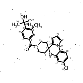 Cc1cc(C(=O)N2CCC3(CC2)Oc2cc(Cl)ccc2-n2cccc23)ccc1C(C)(C)O